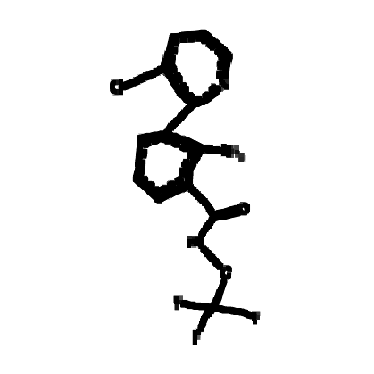 Nc1c(C(=O)NOC(F)(F)F)cccc1-c1ncccc1Cl